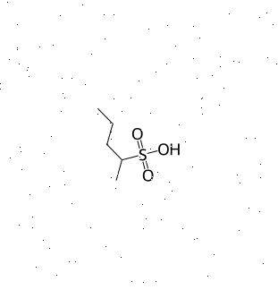 CCCC(C)S(=O)(=O)O